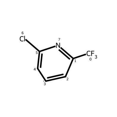 FC(F)(F)c1c[c]cc(Cl)n1